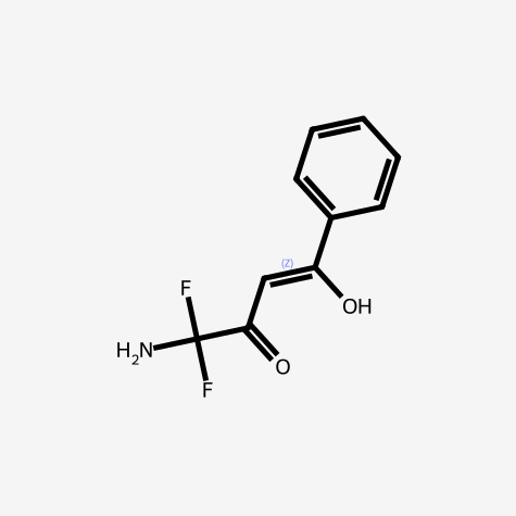 NC(F)(F)C(=O)/C=C(\O)c1ccccc1